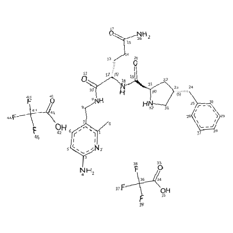 Cc1nc(N)ccc1CNC(=O)[C@H](CCC(N)=O)NC(=O)[C@H]1C[C@H](Cc2ccccc2)CN1.O=C(O)C(F)(F)F.O=C(O)C(F)(F)F